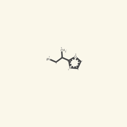 [CH2]C(CC(C)C)c1ncco1